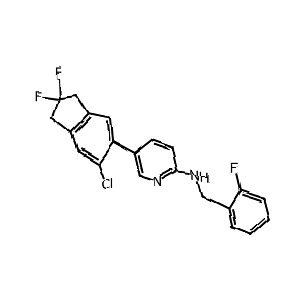 Fc1ccccc1CNc1ccc(-c2cc3c(cc2Cl)CC(F)(F)C3)cn1